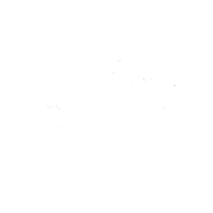 CNC(=O)c1c(-c2ccc(F)cc2)oc2cc3c(cc12)C(C)CCCN3S(C)(=O)=O